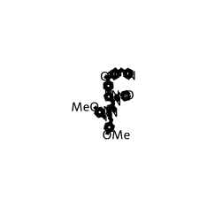 COc1ccc(CN(Cc2ccc(OC)cc2)c2ncc(-c3nc(N4CCOCC4)nc4c3CCN4c3ccc(C(=O)N4CCN(Cc5ccncc5)CC4)cc3)cn2)cc1